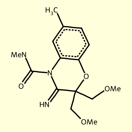 CNC(=O)N1C(=N)C(COC)(COC)Oc2ccc(C)cc21